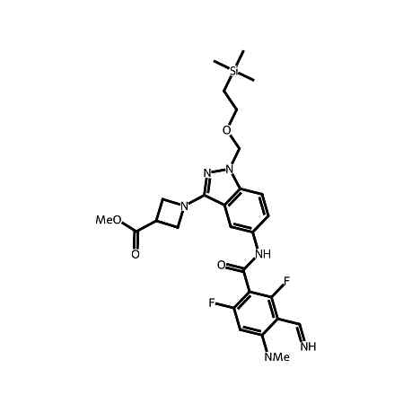 CNc1cc(F)c(C(=O)Nc2ccc3c(c2)c(N2CC(C(=O)OC)C2)nn3COCC[Si](C)(C)C)c(F)c1C=N